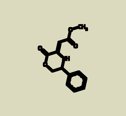 COC(=O)C=C1NC(c2ccccc2)COC1=O